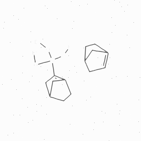 C1=C2CCC(C1)C2.CCO[Si](OCC)(OCC)C1=C2CCC(C2)C1